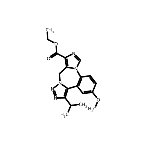 CCOC(=O)c1ncn2c1Cn1nnc(C(C)C)c1-c1cc(OC)ccc1-2